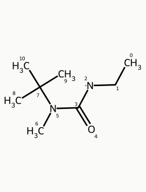 CC[N]C(=O)N(C)C(C)(C)C